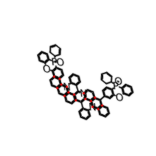 O=P1(C2C=CC=CC2)c2ccccc2Oc2cc(-c3cccc(-c4cc(-c5ccccc5N(c5ccccc5)c5ccccc5)c(-c5cccc(-c6ccc7c(c6)Oc6ccccc6P7(=O)C6C=CC=CC6)c5)nc4-c4ccccc4N(c4ccccc4)c4ccccc4)c3)ccc21